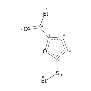 CCSc1ccc(C(=O)CC)o1